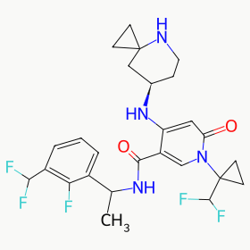 CC(NC(=O)c1cn(C2(C(F)F)CC2)c(=O)cc1N[C@@H]1CCNC2(CC2)C1)c1cccc(C(F)F)c1F